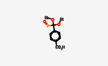 CCOC(OCC)(P=O)c1ccc(C(=O)O)cc1